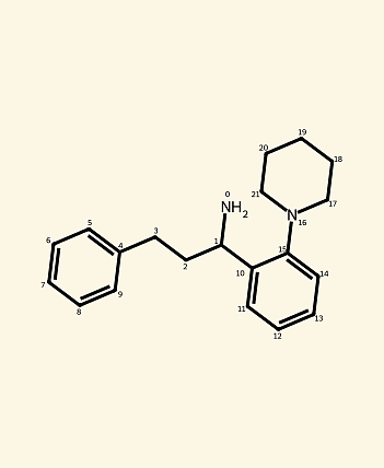 NC(CCc1ccccc1)c1ccccc1N1CCCCC1